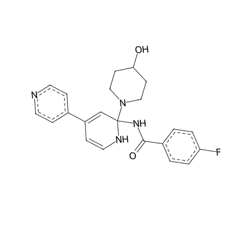 O=C(NC1(N2CCC(O)CC2)C=C(c2ccncc2)C=CN1)c1ccc(F)cc1